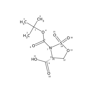 CC(C)(C)OC(=O)N1[C@@H](C(=O)O)COS1(=O)=O